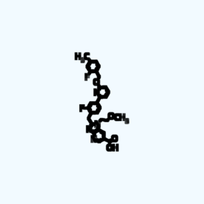 COCCn1c(Cc2ccc(-c3cccc(OCc4ccc(C)cc4F)n3)cc2F)nc2ncc(C(=O)O)cc21